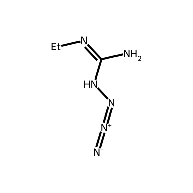 CCN=C(N)NN=[N+]=[N-]